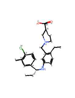 CCc1ccc(N[C@H](CC)c2ccc(Cl)c(C)c2)cc1CN1CCC(C(=O)O)C1